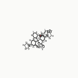 CCCC=CCNc1ccccc1C1(c2ccc(N3CCCC3)cc2N)OC(=O)c2cc(N3CCCC3)ccc21